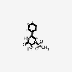 CC(C)[C@H]1C(=O)NC(c2ccccc2)=CN1S(C)(=O)=O